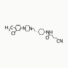 Cc1ccc(N2CCN(CC[C@H]3CC[C@H](NC(=O)CCCC#N)CC3)CC2)cc1Cl